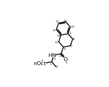 CCCCCCCCC(C)NC(=O)C1CCc2ccccc2C1